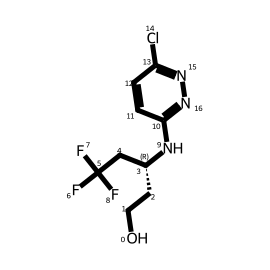 OCC[C@H](CC(F)(F)F)Nc1ccc(Cl)nn1